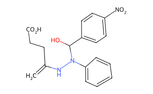 C=C(CCC(=O)O)NN(c1ccccc1)C(O)c1ccc([N+](=O)[O-])cc1